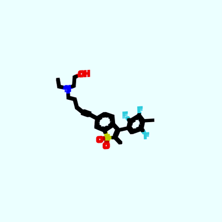 CCN(CCO)CCCC#Cc1ccc2c(c1)S(=O)(=O)C(C)=C2c1cc(F)c(C)c(F)c1F